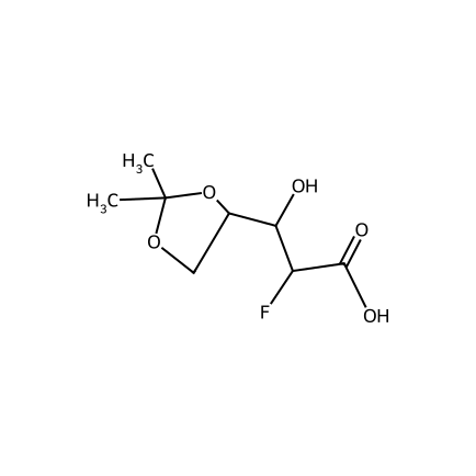 CC1(C)OCC(C(O)C(F)C(=O)O)O1